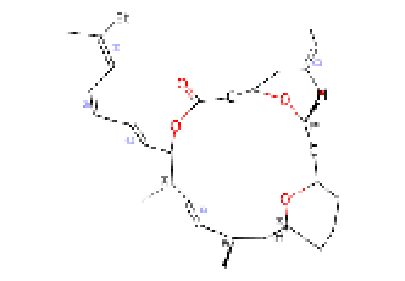 C/C=C1\CC2CC(=O)OC(/C=C/C=C\C=C(/C)CC)[C@@H](C)/C=C/[C@H](C)C[C@H]3CCCC(C[C@@H](C1)O2)O3